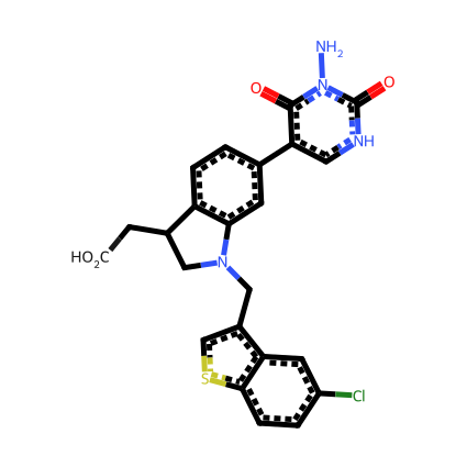 Nn1c(=O)[nH]cc(-c2ccc3c(c2)N(Cc2csc4ccc(Cl)cc24)CC3CC(=O)O)c1=O